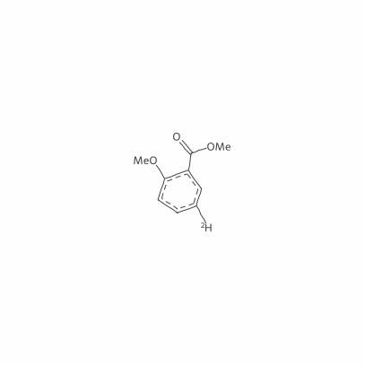 [2H]c1ccc(OC)c(C(=O)OC)c1